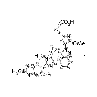 COc1nn([C@@H]2C[C@H]2C(=O)O)cc1-n1cc2c(-c3nc(-c4cc5cn(C)nc5nc4C(C)C)n(C)c3C3CC3)cccc2n1